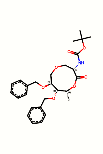 C[C@H]1OC(=O)[C@@H](NC(=O)OC(C)(C)C)COC[C@H](OCc2ccccc2)[C@H]1OCc1ccccc1